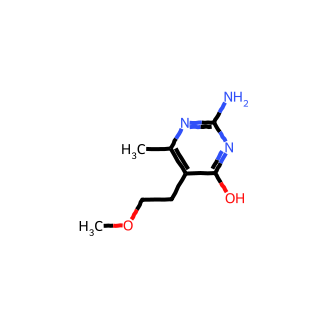 COCCc1c(C)nc(N)nc1O